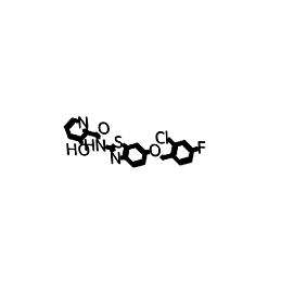 O=C(Nc1nc2ccc(OCc3ccc(F)cc3Cl)cc2s1)c1ncccc1O